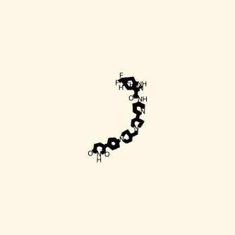 C[C@@]12Cc3[nH]nc(C(=O)Nc4ccc(C5CCN(CC6CCN(c7ccc(C8CCC(=O)NC8=O)cc7)CC6)CC5)nc4)c3C[C@@H]1C2(F)F